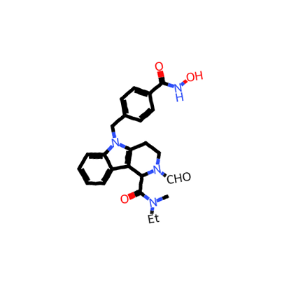 CCN(C)C(=O)C1c2c(n(Cc3ccc(C(=O)NO)cc3)c3ccccc23)CCN1C=O